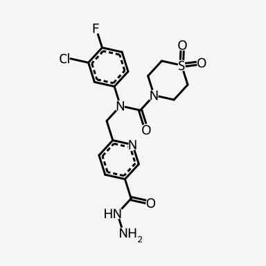 NNC(=O)c1ccc(CN(C(=O)N2CCS(=O)(=O)CC2)c2ccc(F)c(Cl)c2)nc1